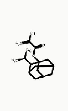 C=C(C)C(=O)OC12CC3CC(CC(C3)C1C(C)C)C2